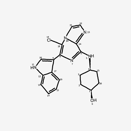 O[C@H]1CC[C@@H](Nc2nc(-c3c[nH]c4ccccc34)c(Cl)n3ccnc23)CC1